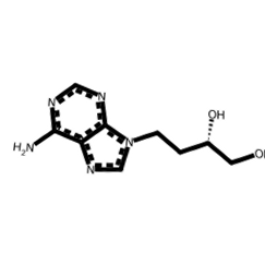 Nc1ncnc2c1ncn2CC[C@H](O)CO